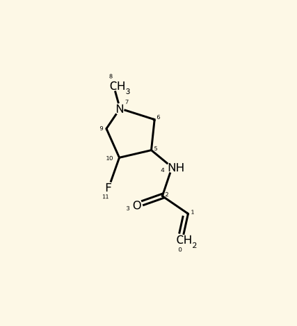 C=CC(=O)NC1CN(C)CC1F